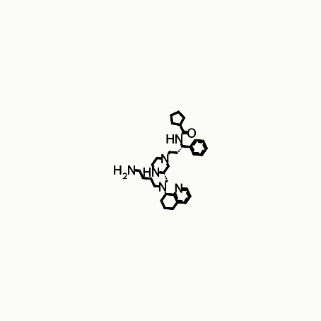 NCCCCN(C[C@H]1CN(CC[C@H](NC(=O)C2CCCC2)c2ccccc2)CCN1)[C@H]1CCCc2cccnc21